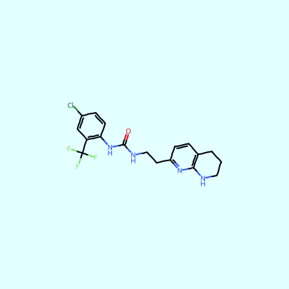 O=C(NCCc1ccc2c(n1)NCCC2)Nc1ccc(Cl)cc1C(F)(F)F